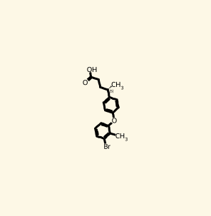 Cc1c(Br)cccc1Oc1ccc([C@@H](C)CCC(=O)O)cc1